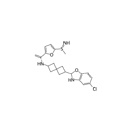 C=C(NC1CC2(C1)CC(C1Nc3cc(Cl)ccc3O1)C2)c1ccc(S(C)=N)o1